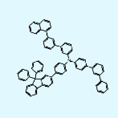 c1ccc(-c2cccc(-c3ccc(N(c4ccc(-c5ccc6c(c5)C(c5ccccc5)(c5ccccc5)c5ccccc5-6)cc4)c4cccc(-c5cccc(-c6cccc7ccccc67)c5)c4)cc3)c2)cc1